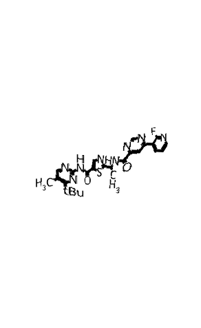 Cc1cnc(NC(=O)c2cnc(C(C)NC(=O)c3cc(-c4cccnc4F)ncn3)s2)nc1C(C)(C)C